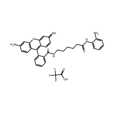 N=c1ccc2c(-c3ccccc3C(=O)NCCCCCC(=O)Nc3ccccc3N)c3ccc(N)cc3oc-2c1.O=C(O)C(F)(F)F